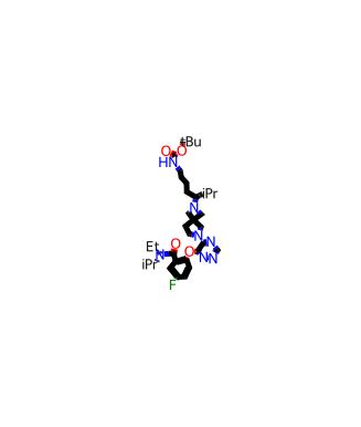 CCN(C(=O)c1cc(F)ccc1Oc1nncnc1N1CCC2(C1)CN(C(CCCCNC(=O)OC(C)(C)C)C(C)C)C2)C(C)C